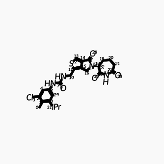 Cc1c(Cl)cc(NC(=O)NCc2scc3c2CN([C@H]2CCCC(=O)NC2=O)C3=O)cc1C(C)C